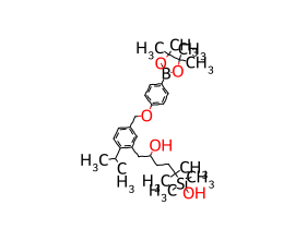 CC(C)c1ccc(COc2ccc(B3OC(C)(C)C(C)(C)O3)cc2)cc1CC(O)CCC(C)(C)[Si](C)(C)O